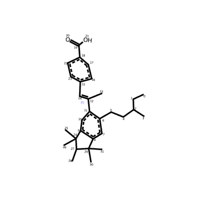 CCC(C)CCc1cc2c(cc1/C(C)=C/c1ccc(C(=O)O)cc1)C(C)(C)C(C)C2(C)C